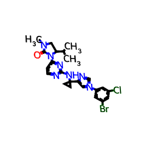 CC(C)C1CN(C)C(=O)N1c1ccnc(NC2(c3cn(-c4cc(Cl)cc(Br)c4)cn3)CC2)n1